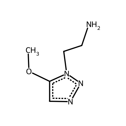 COc1cnnn1CCN